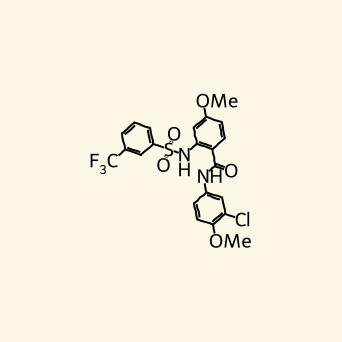 COc1ccc(C(=O)Nc2ccc(OC)c(Cl)c2)c(NS(=O)(=O)c2cccc(C(F)(F)F)c2)c1